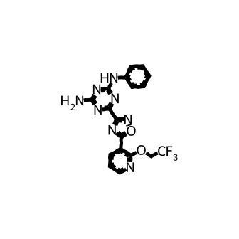 Nc1nc(Nc2ccccc2)nc(-c2noc(-c3cccnc3OCC(F)(F)F)n2)n1